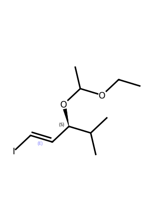 CCOC(C)O[C@H](/C=C/I)C(C)C